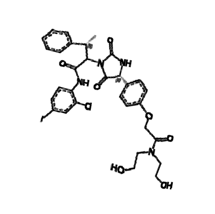 C[C@@H](c1ccccc1)C(C(=O)Nc1ccc(I)cc1Cl)N1C(=O)N[C@H](c2ccc(OCC(=O)N(CCO)CCO)cc2)C1=O